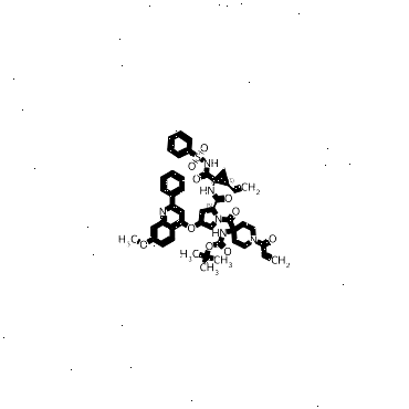 C=CC(=O)N1CCC(NC(=O)OC(C)(C)C)(C(=O)N2CC(Oc3cc(-c4ccccc4)nc4cc(OC)ccc34)C[C@H]2C(=O)N[C@]2(C(=O)NS(=O)(=O)c3ccccc3)C[C@H]2C=C)CC1